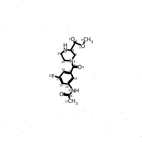 COC(=O)C1CN(C(=O)c2cc(F)cc(NC(C)=O)c2)CCN1